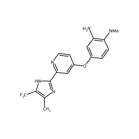 CNc1ccc(Oc2ccnc(-c3nc(C)c(C(F)(F)F)[nH]3)c2)cc1N